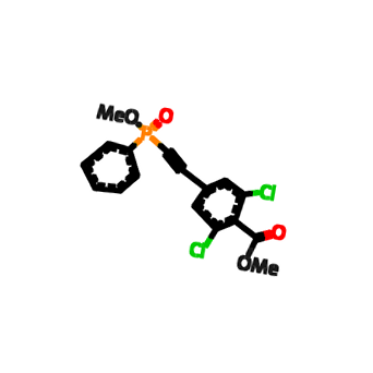 COC(=O)c1c(Cl)cc(C#CP(=O)(OC)c2ccccc2)cc1Cl